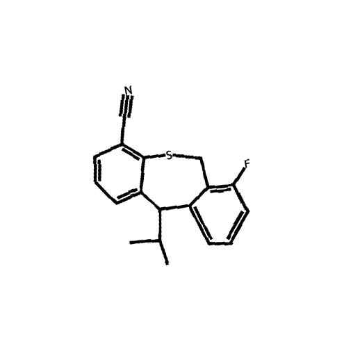 CC(C)C1c2cccc(F)c2CSc2c(C#N)cccc21